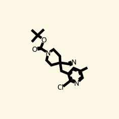 Cc1cnc(Cl)c(CC2(C#N)CCN(C(=O)OC(C)(C)C)CC2)c1